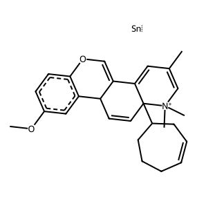 COc1ccc2c(c1)C1C=CC3(C4CC=CCCC4)C(=CC(C)=C[N+]3(C)C)C1=CO2.[Sn]